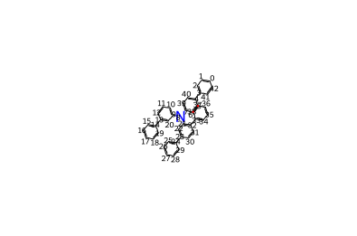 c1ccc(-c2ccc(N(c3cccc(-c4ccccc4)c3)c3cc(-c4ccccc4)ccc3-c3ccccc3)cc2)cc1